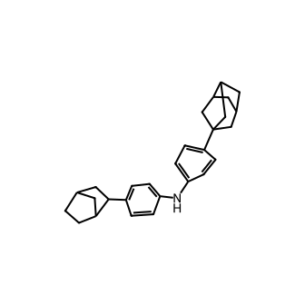 c1cc(C2CC3CCC2C3)ccc1Nc1ccc(C23CC4CC(C2)C(C4)C3)cc1